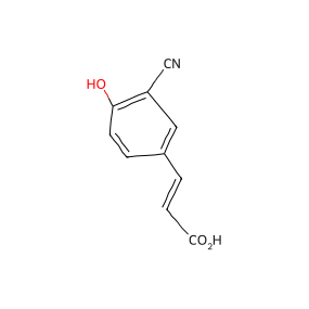 N#Cc1cc(C=CC(=O)O)ccc1O